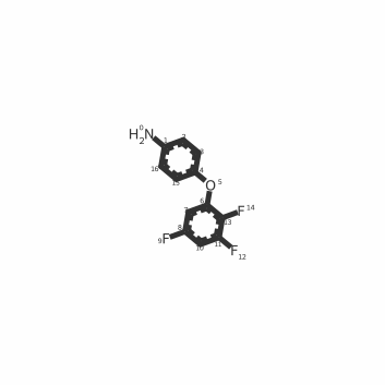 Nc1ccc(Oc2cc(F)cc(F)c2F)cc1